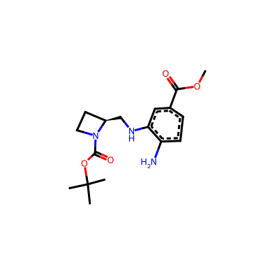 COC(=O)c1ccc(N)c(NC[C@@H]2CCN2C(=O)OC(C)(C)C)c1